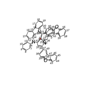 C1=C(c2cc(-n3c4ccccc4c4ccc5c6ccccc6n(-c6cccc7ccccc67)c5c43)cc(-c3ccc4oc5ccccc5c4c3)n2)CCc2oc3ccccc3c21